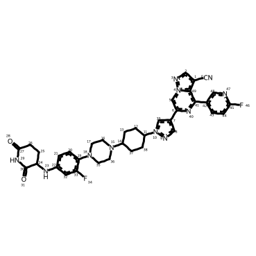 N#Cc1cnn2cc(-c3cnn(C4CCC(N5CCN(c6ccc(NC7CCC(=O)NC7=O)cc6F)CC5)CC4)c3)nc(-c3ccc(F)nc3)c12